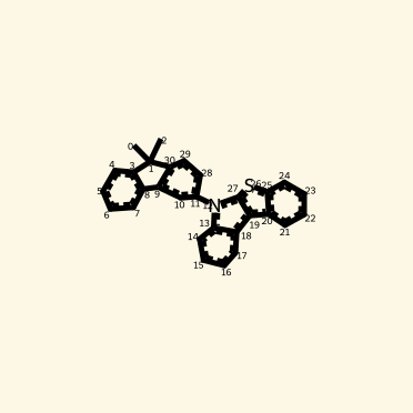 CC1(C)c2ccccc2-c2cc(-n3c4ccccc4c4c5ccccc5sc43)ccc21